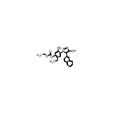 CCOC(=O)Oc1cc(O)c(-n2nnc(O)c2-c2ccc3ccccc3c2)cc1CC